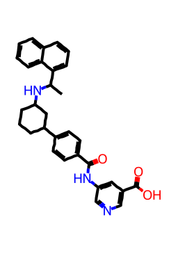 CC(NC1CCCC(c2ccc(C(=O)Nc3cncc(C(=O)O)c3)cc2)C1)c1cccc2ccccc12